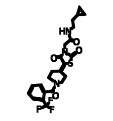 O=C(CN1C(=O)SC(=C2CCN(C(=O)c3ccccc3C(F)(F)F)CC2)C1=O)NCCC1CC1